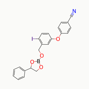 N#Cc1ccc(Oc2ccc(I)c(COB3OCC(c4ccccc4)O3)c2)cc1